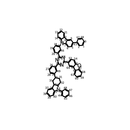 c1ccc(-c2ccc3c(c2)c2ccccc2n3-c2cccc(-c3nc(-c4cccc(C5CCC6C(C5)c5ccccc5N6c5ccccc5)c4)nc(-c4ccc5oc6ccccc6c5c4)n3)c2)cc1